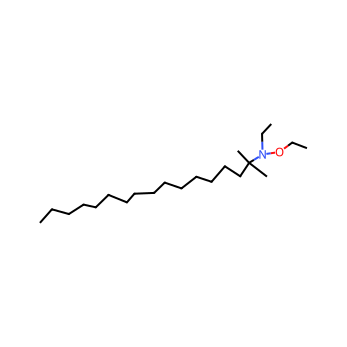 CCCCCCCCCCCCCCCC(C)(C)N(CC)OCC